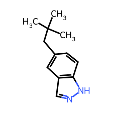 CC(C)(C)Cc1ccc2[nH]ncc2c1